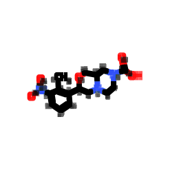 Cc1c(C2CN3CCN(C(=O)O)CC3CO2)cccc1[N+](=O)[O-]